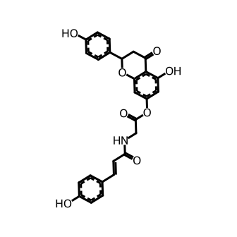 O=C(/C=C/c1ccc(O)cc1)NCC(=O)Oc1cc(O)c2c(c1)OC(c1ccc(O)cc1)CC2=O